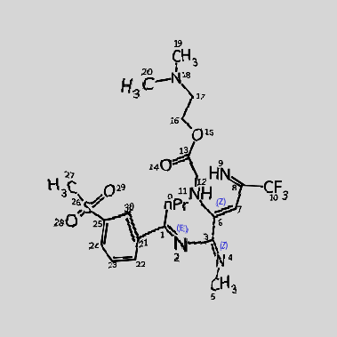 CCC\C(=N/C(=N\C)C(=C/C(=N)C(F)(F)F)/NCC(=O)OCCN(C)C)c1cccc(S(C)(=O)=O)c1